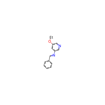 CCOc1cncc(N=Cc2ccccc2)c1